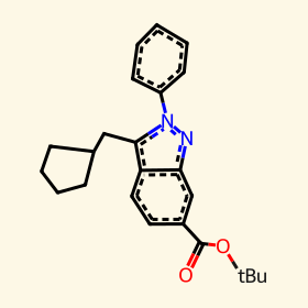 CC(C)(C)OC(=O)c1ccc2c(CC3CCCC3)n(-c3ccccc3)nc2c1